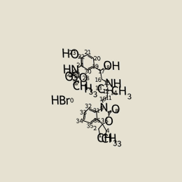 Br.CCC1(CC)OC(=O)N(CCC(C)(C)NCC(O)c2ccc(O)c(NS(C)(=O)=O)c2)c2ccccc21